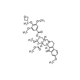 C1COC1.COC(=O)[C@H]1[C@H]2C[C@@H]3c4[nH]c5cc(OC)ccc5c4CCN3C[C@H]2C[C@@H](OC(=O)c2cc(OC)c(OC)c(OC)c2)[C@@H]1OC